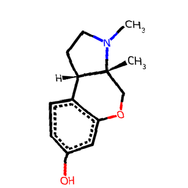 CN1CC[C@H]2c3ccc(O)cc3OC[C@]21C